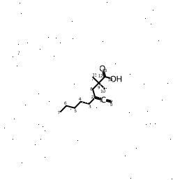 C=C=C(CCCCC)CC(C)(C)C(=O)O